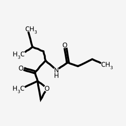 CCCC(=O)NC(CC(C)C)C(=O)C1(C)CO1